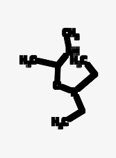 CCB(CC)OC(C)NC